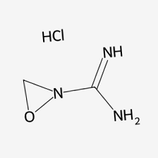 Cl.N=C(N)N1CO1